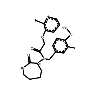 CCCOc1ccc(CN(C(=O)COc2cccnc2I)[C@H]2CCCCNC2=O)cc1C